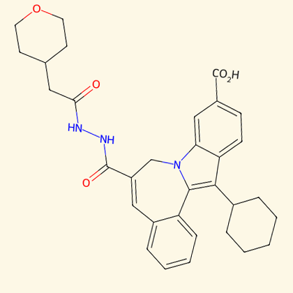 O=C(CC1CCOCC1)NNC(=O)C1=Cc2ccccc2-c2c(C3CCCCC3)c3ccc(C(=O)O)cc3n2C1